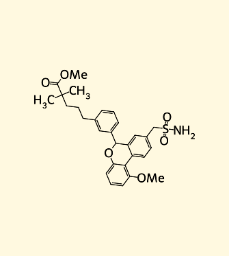 COC(=O)C(C)(C)CCCc1cccc(C2Oc3cccc(OC)c3-c3ccc(CS(N)(=O)=O)cc32)c1